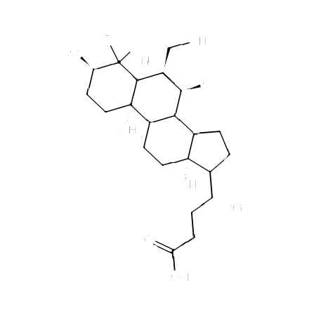 CC[C@@H]1[C@@H]2C(F)(F)[C@H](O)CC[C@]2(C)C2CC[C@@]3(C)C(CCC3[C@H](C)CCC(=O)O)C2[C@@H]1O